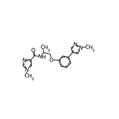 CC(COc1c[c]cc(-c2cnn(C)c2)c1)NC(=O)c1cn(C)cn1